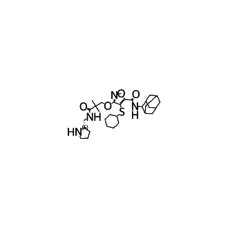 CC(C)(COc1noc(C(=O)NC2C3CC4CC(C3)CC2C4)c1SC1CCCCC1)C(=O)NC[C@@H]1CCCN1